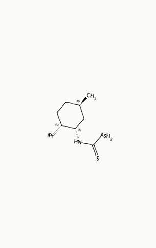 CC(C)[C@@H]1CC[C@@H](C)C[C@@H]1NC(=S)[AsH2]